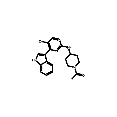 CC(=O)N1CCC(Nc2ncc(Cl)c(-c3c[nH]c4ccccc34)n2)CC1